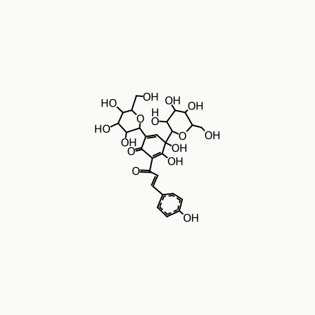 O=C(/C=C/c1ccc(O)cc1)C1=C(O)C(O)(C2OC(CO)C(O)C(O)C2O)C=C(C2OC(CO)C(O)C(O)C2O)C1=O